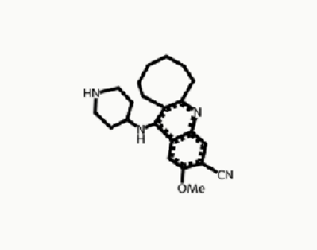 COc1cc2c(NC3CCNCC3)c3c(nc2cc1C#N)CCCCCC3